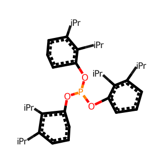 CC(C)c1cccc(OP(Oc2cccc(C(C)C)c2C(C)C)Oc2cccc(C(C)C)c2C(C)C)c1C(C)C